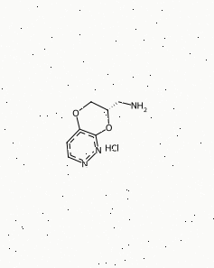 Cl.NC[C@H]1COc2ccnnc2O1